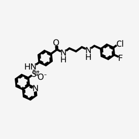 O=C(NCCCNCc1ccc(F)c(Cl)c1)c1ccc(N[S@@+]([O-])c2cccc3cccnc23)cc1